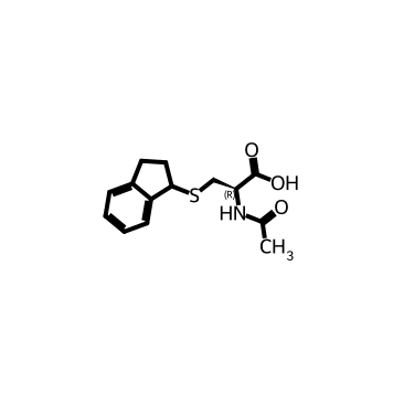 CC(=O)N[C@@H](CSC1CCc2ccccc21)C(=O)O